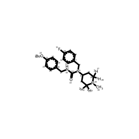 [2H]C1([2H])CC(N(Cc2ccc(F)cc2)C(=O)NCc2ccc(OCC(C)C)cc2)CC([2H])([2H])N1C